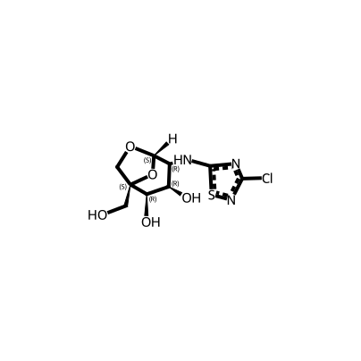 OC[C@@]12CO[C@@H](O1)[C@H](Nc1nc(Cl)ns1)[C@@H](O)[C@H]2O